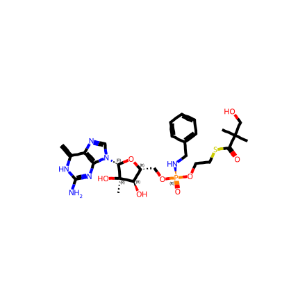 C=C1NC(N)=Nc2c1ncn2[C@@H]1O[C@H](CO[P@](=O)(NCc2ccccc2)OCCSC(=O)C(C)(C)CO)[C@@H](O)[C@@]1(C)O